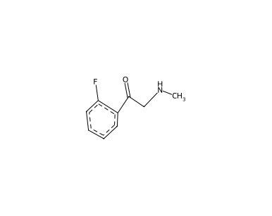 CNCC(=O)c1ccccc1F